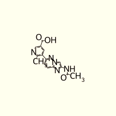 CC(=O)Nc1cn2nc(-c3cc(C(=O)O)cnc3C)ccc2n1